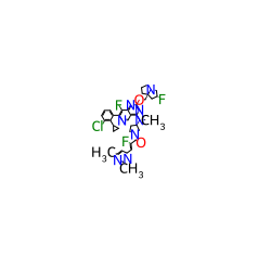 Cc1cc(/C=C(\F)C(=O)N2CC[C@@H](N(C)c3nc(OC[C@@]45CCCN4C[C@H](F)C5)nc4c(F)c(-c5cccc(Cl)c5C5CC5)ncc34)C2)nc(C)n1